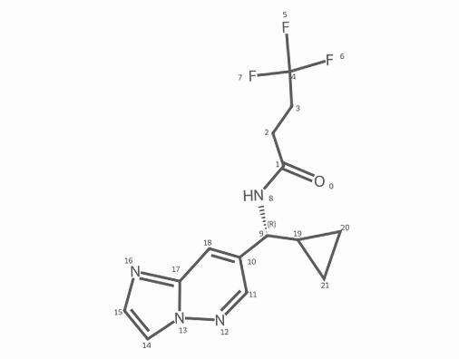 O=C(CCC(F)(F)F)N[C@@H](c1cnn2ccnc2c1)C1CC1